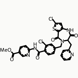 COC(=O)c1ccc(NC(=O)c2ccc(CN3C(=O)c4sc(Cl)cc4NC(=O)C3Cc3ccccn3)cc2Cl)nc1